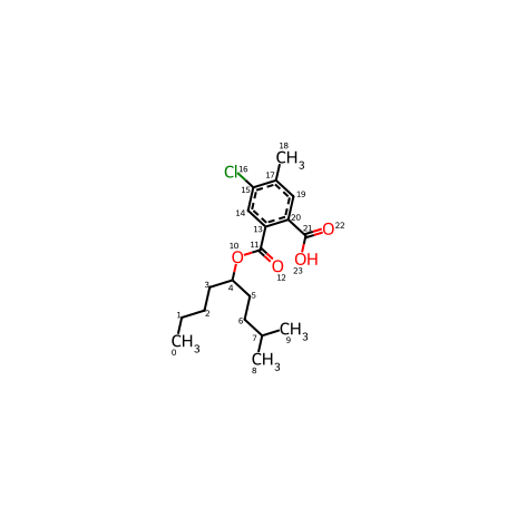 CCCCC(CCC(C)C)OC(=O)c1cc(Cl)c(C)cc1C(=O)O